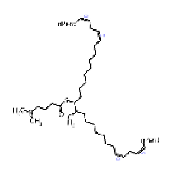 CCCCC/C=C\C/C=C\CCCCCCCCC(SC(=O)CCCN(C)C)C(C)CCCCCCC/C=C\C/C=C\CCCCC